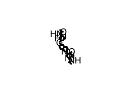 CC(=O)Nc1nccc(Oc2ccc3nc(-c4cnc(NC(C)C)n(C)c4=O)ccc3c2)c1F